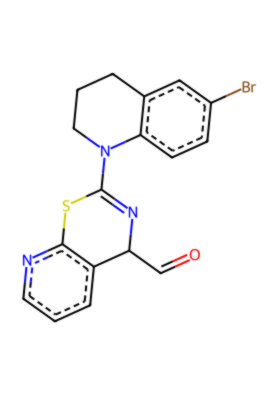 O=CC1N=C(N2CCCc3cc(Br)ccc32)Sc2ncccc21